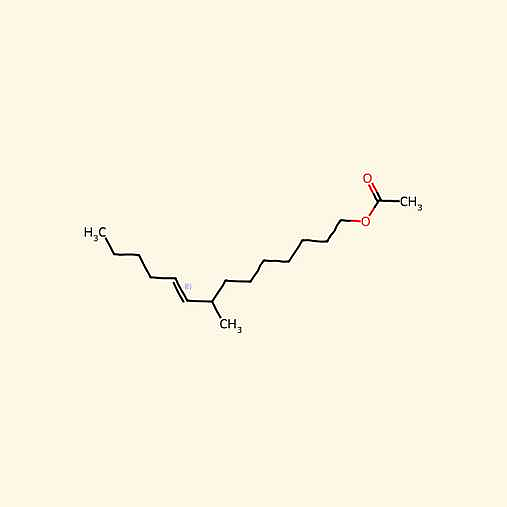 CCCC/C=C/C(C)CCCCCCCOC(C)=O